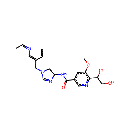 C=C/C(=C\N=C/C)CN1C=NC(NC(=O)c2cnc(C(O)CO)c(OC)c2)C1